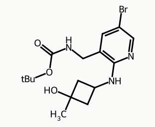 CC1(O)CC(Nc2ncc(Br)cc2CNC(=O)OC(C)(C)C)C1